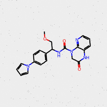 COCC(NC(=O)N1CC(=O)Nc2cccnc21)c1ccc(-n2cccc2)cc1